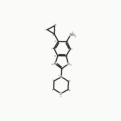 O=[N+]([O-])c1cc2oc(N3CCOCC3)nc2cc1C1CC1